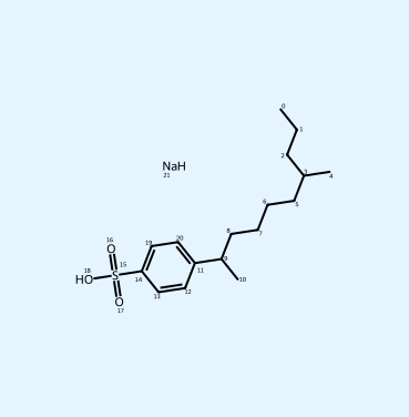 CCCC(C)CCCCC(C)c1ccc(S(=O)(=O)O)cc1.[NaH]